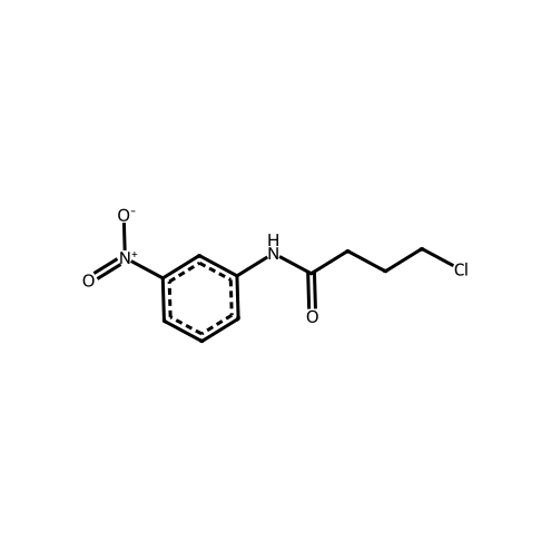 O=C(CCCCl)Nc1cccc([N+](=O)[O-])c1